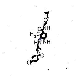 CC1=C(C(=O)NCCOCC2CC2)C=CC(=N)/C1=C\NCC1CN(C(=O)C2C=CC(Cl)=CC2)C1